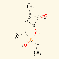 CCP(=O)(CC)OC1C=C(C)C1=O